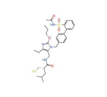 CCCOc1nc(CC)c(CNC(=O)[C@@H](CS)CC(C)C)n1Cc1ccc(-c2ccccc2S(=O)(=O)NC(C)=O)cc1